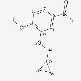 COc1ccc(C(C)=O)cc1OCC1CC1